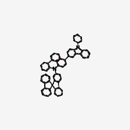 c1ccc(-c2ccccc2N(c2ccc(-c3ccc4c(c3)c3ccccc3n4-c3ccccc3)cc2)c2ccc3c(c2)C2(c4ccccc4-c4ccccc42)c2ccccc2-3)cc1